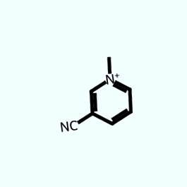 C[n+]1cccc(C#N)c1